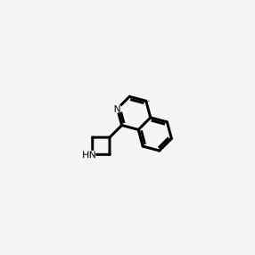 [c]1cnc(C2CNC2)c2ccccc12